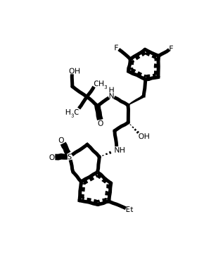 CCc1ccc2c(c1)[C@@H](NC[C@@H](O)[C@H](Cc1cc(F)cc(F)c1)NC(=O)C(C)(C)CO)CS(=O)(=O)C2